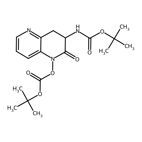 CC(C)(C)OC(=O)NC1Cc2ncccc2N(OC(=O)OC(C)(C)C)C1=O